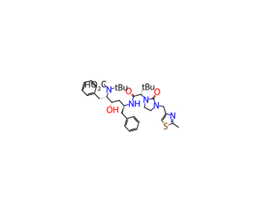 Cc1nc(CN2CCN([C@H](C(=O)N[C@@H](Cc3ccccc3)C[C@H](O)[C@H](Cc3ccccc3)N(C(=O)O)C(C)(C)C)C(C)(C)C)C2=O)cs1